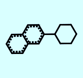 [c]1cc2ccccc2cc1C1CCCCC1